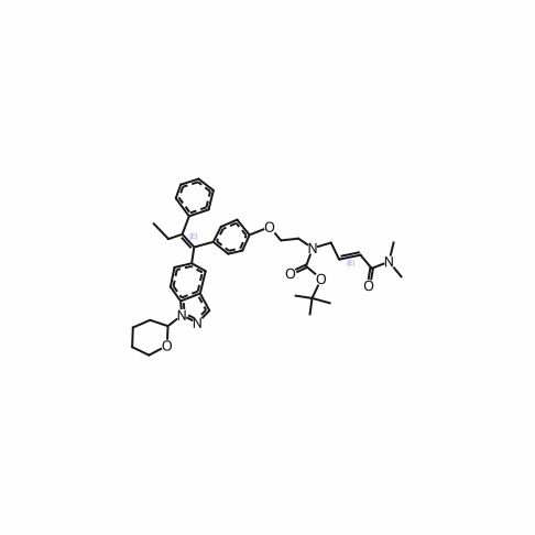 CC/C(=C(/c1ccc(OCCN(C/C=C/C(=O)N(C)C)C(=O)OC(C)(C)C)cc1)c1ccc2c(cnn2C2CCCCO2)c1)c1ccccc1